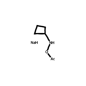 CC(=O)ONC1CCC1.[NaH]